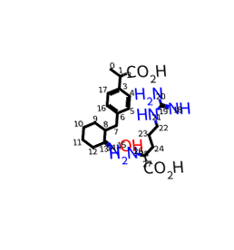 CC(C(=O)O)c1ccc(CC2CCCC/C2=N/O)cc1.N=C(N)NCCC[C@H](N)C(=O)O